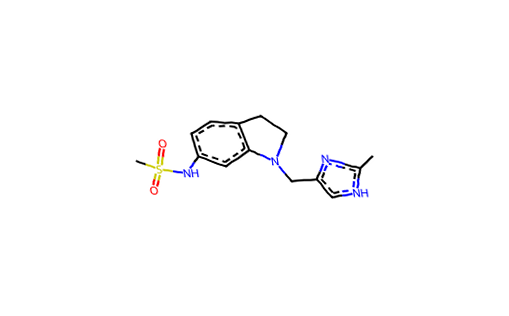 Cc1nc(CN2CCc3ccc(NS(C)(=O)=O)cc32)c[nH]1